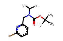 CC(C)N(Cc1cccc(Br)n1)C(=O)OC(C)(C)C